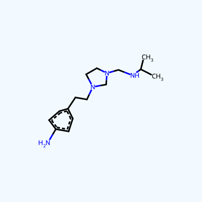 CC(C)NCN1CCN(CCc2ccc(N)cc2)C1